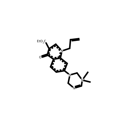 C=CCn1cc(C(=O)OCC)c(=O)c2ccc(N3CN=C[N+](C)(C)C3)cc21